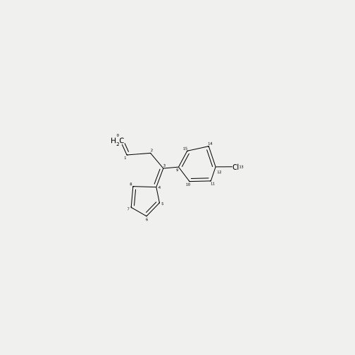 C=CCC(=C1C=CC=C1)c1ccc(Cl)cc1